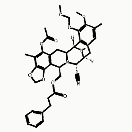 COCOc1c(OC)c(C)cc2c1[C@H]1C3Cc4c(OC(C)=O)c(C)c5c(c4[C@H](COC(=O)CCc4ccccc4)N3[C@@H](C#N)[C@H](C2)N1C)OCO5